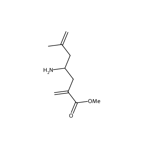 C=C(C)CC(N)CC(=C)C(=O)OC